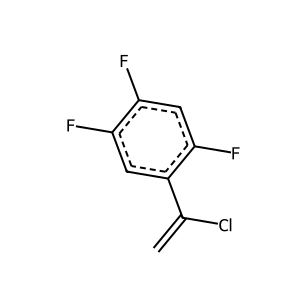 C=C(Cl)c1cc(F)c(F)cc1F